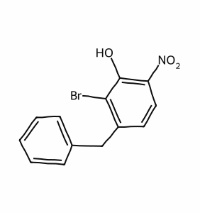 O=[N+]([O-])c1ccc(Cc2ccccc2)c(Br)c1O